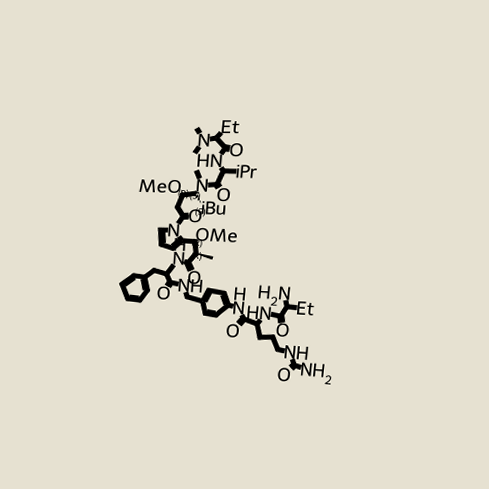 CCC(N)C(=O)NC(CCCNC(N)=O)C(=O)Nc1ccc(CNC(=O)C(Cc2ccccc2)NC(=O)[C@H](C)[C@@H](OC)c2cccn2C(=O)C[C@@H](OC)[C@H]([C@@H](C)CC)N(C)C(=O)C(NC(=O)C(CC)N(C)C)C(C)C)cc1